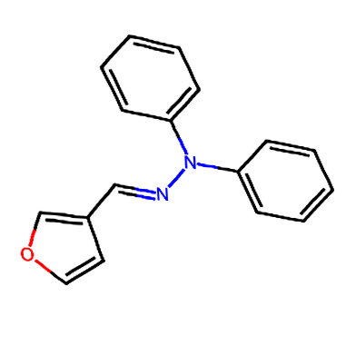 C(=NN(c1ccccc1)c1ccccc1)c1ccoc1